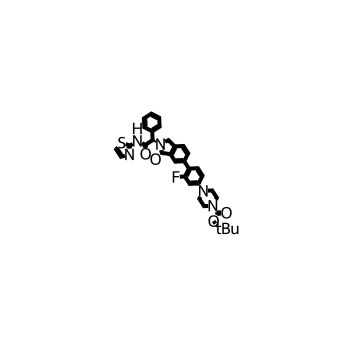 CC(C)(C)OC(=O)N1CCN(c2ccc(-c3ccc4c(c3)C(=O)N([C@@H](C(=O)Nc3nccs3)c3ccccc3)C4)c(F)c2)CC1